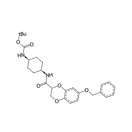 CC(C)(C)OC(=O)N[C@H]1CC[C@@H](NC(=O)C2COc3ccc(OCc4ccccc4)cc3O2)CC1